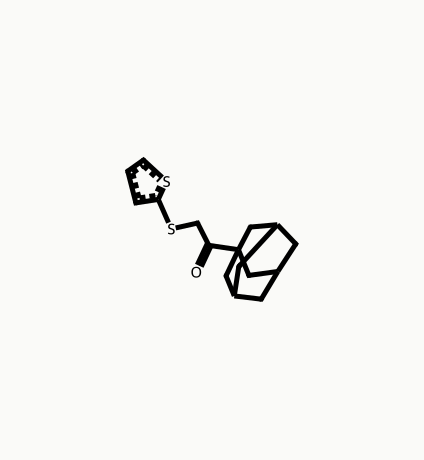 O=C(CSc1cccs1)C12CC3CC(CC(C3)C1)C2